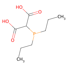 CCCP(CCC)C(C(=O)O)C(=O)O